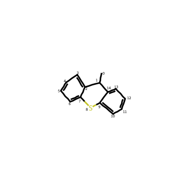 CC1c2ccccc2Sc2ccccc21